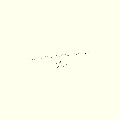 CCCCCCCCCCCCC[CH2][Na].CCS(=O)(=O)O